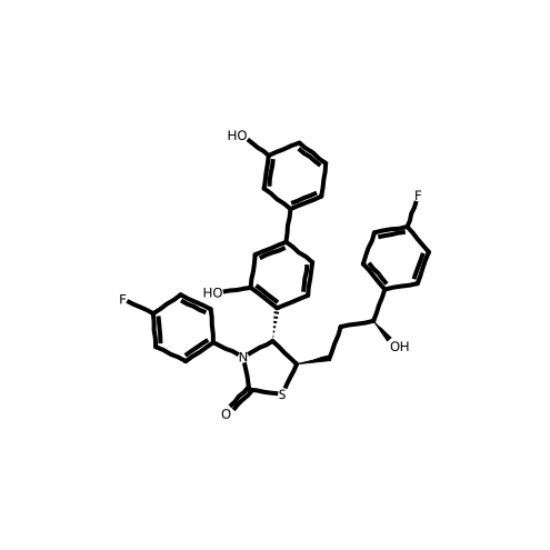 O=C1S[C@H](CC[C@H](O)c2ccc(F)cc2)[C@@H](c2ccc(-c3cccc(O)c3)cc2O)N1c1ccc(F)cc1